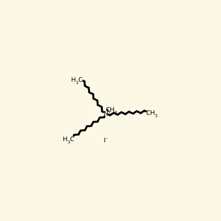 CCCCCCCCCCC[N+](C)(CCCCCCCCCCC)CCCCCCCCCCC.[I-]